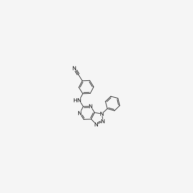 N#Cc1cccc(Nc2ncc3nnn(-c4ccccc4)c3n2)c1